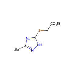 CCOC(=O)CSc1nc(C(C)(C)C)n[nH]1